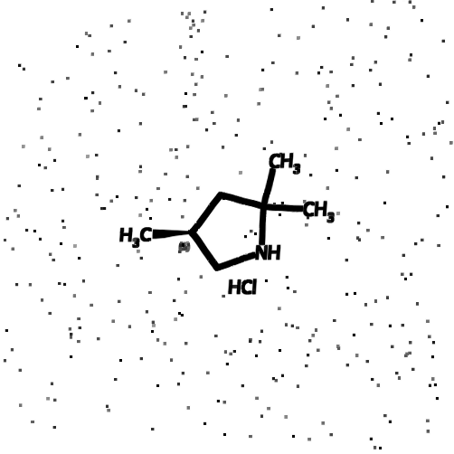 C[C@@H]1CNC(C)(C)C1.Cl